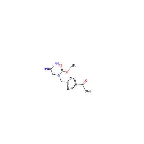 COC(=O)c1ccc(CN(CC(=N)N)C(=O)OC(C)(C)C)cc1